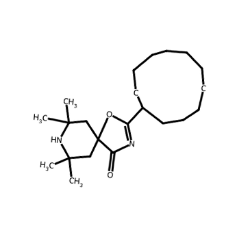 CC1(C)CC2(CC(C)(C)N1)OC(C1CCCCCCCCCC1)=NC2=O